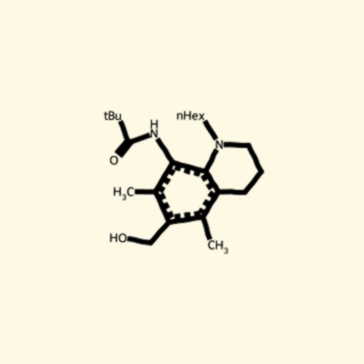 CCCCCCN1CCCc2c(C)c(CO)c(C)c(NC(=O)C(C)(C)C)c21